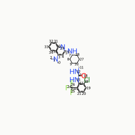 CN(C)c1cc(N[C@H]2CC[C@@H](CNC(=O)Nc3c(Cl)cccc3C(F)(F)F)CC2)nc2ccccc12